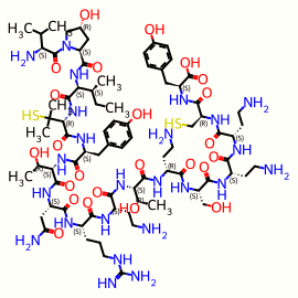 CC[C@H](C)[C@H](NC(=O)[C@@H]1C[C@@H](O)CN1C(=O)[C@@H](N)C(C)C)C(=O)N[C@H](C(=O)N[C@@H](Cc1ccc(O)cc1)C(=O)N[C@H](C(=O)N[C@@H](CC(N)=O)C(=O)N[C@@H](CCCNC(=N)N)C(=O)N[C@@H](CCN)C(=O)N[C@H](C(=O)N[C@H](CCN)C(=O)N[C@@H](CO)C(=O)N[C@@H](CCN)C(=O)N[C@@H](CCN)C(=O)N[C@@H](CS)C(=O)N[C@@H](Cc1ccc(O)cc1)C(=O)O)[C@@H](C)O)[C@@H](C)O)C(C)(C)S